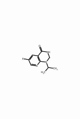 CC(C)N1CNC(=O)c2cc(F)cnc21